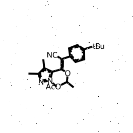 CC(=O)OC(C)O/C(=C(/C#N)c1ccc(C(C)(C)C)cc1)c1c(C)c(C)nn1C